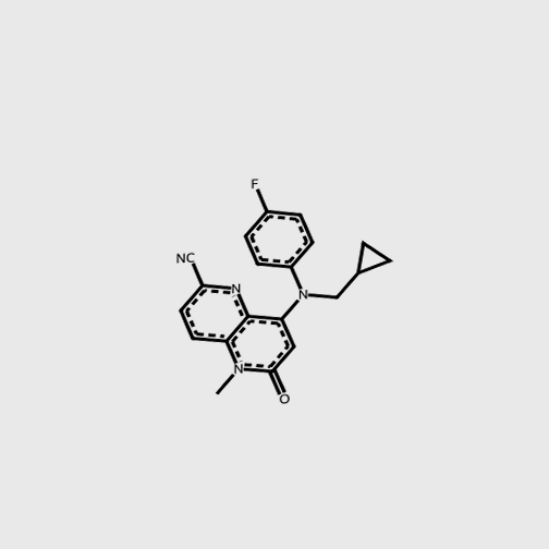 Cn1c(=O)cc(N(CC2CC2)c2ccc(F)cc2)c2nc(C#N)ccc21